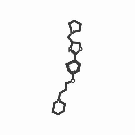 c1cc(C2=NC(CN3CCCC3)CO2)ccc1OCCCN1CCCCC1